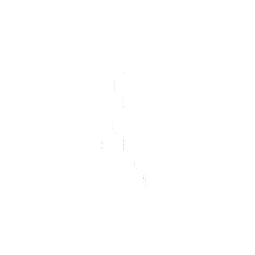 O=CCCc1cccc(C=Cc2ccccc2)c1